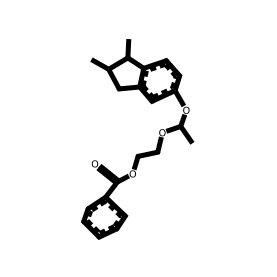 CC(OCCOC(=O)c1ccccc1)Oc1ccc2c(c1)CC(C)C2C